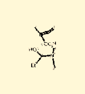 C=C(C)C(=O)O.CCC(O)N(C)C